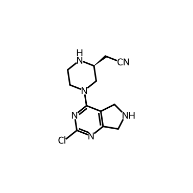 N#CC[C@H]1CN(c2nc(Cl)nc3c2CNC3)CCN1